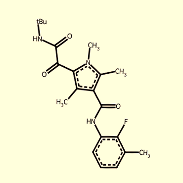 Cc1cccc(NC(=O)c2c(C)c(C(=O)C(=O)NC(C)(C)C)n(C)c2C)c1F